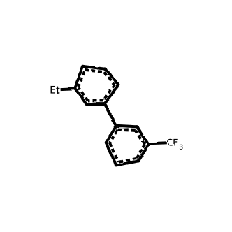 CCc1cccc(-c2cccc(C(F)(F)F)c2)c1